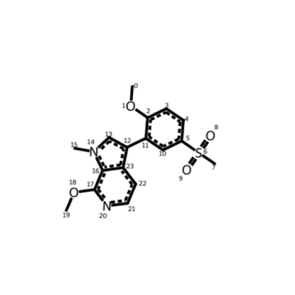 COc1ccc(S(C)(=O)=O)cc1-c1cn(C)c2c(OC)nccc12